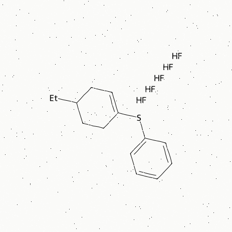 CCC1CC=C(Sc2ccccc2)CC1.F.F.F.F.F